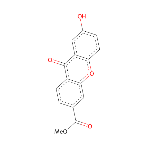 COC(=O)c1ccc2c(=O)c3cc(O)ccc3oc2c1